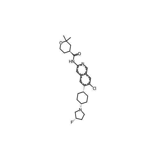 CC1(C)C[C@@H](C(=O)Nc2cc3cc([C@H]4CC[C@@H](N5CC[C@H](F)C5)CC4)c(Cl)cc3cn2)CCO1